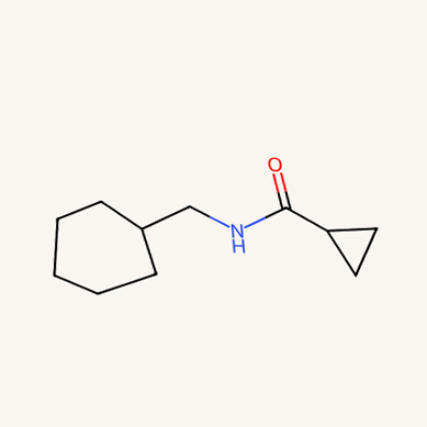 O=C(NCC1CCCCC1)C1CC1